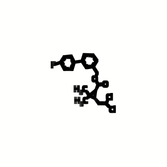 CC1(C)[C@H](C=C(Cl)Cl)[C@@H]1C(=O)OCc1cccc(-c2ccc(F)cc2)c1